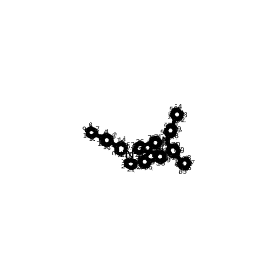 C1=C(c2ccc(-c3ccccc3)cc2)CCC(N(c2ccccc2)c2ccc3c(c2)C2(c4ccccc4-c4ccccc42)c2cc(N(c4ccc(-c5ccccc5)cc4)c4ccc(-c5ccccc5)cc4)ccc2-3)C1